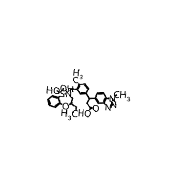 CCC1CN(Cc2cc(C(CC(=O)O)c3ccc4c(c3)nnn4C)ccc2C)S(O)(O)c2ccccc2O1